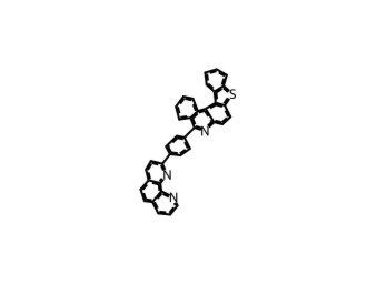 c1cnc2c(c1)ccc1ccc(-c3ccc(-c4nc5ccc6sc7ccccc7c6c5c5ccccc45)cc3)nc12